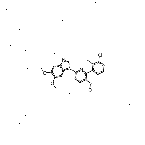 COc1cc2ncn(-c3ccc(C=O)c(-c4cccc(Cl)c4F)n3)c2cc1OC